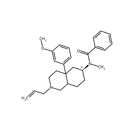 C=CCN1CCC2(c3cccc(OC)c3)C[C@@H](N(C)C(=O)c3ccccc3)CCC2C1